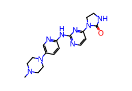 CN1CCN(c2ccc(Nc3nccc(N4CCNC4=O)n3)nc2)CC1